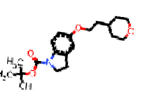 CC(C)(C)OC(=O)N1CCc2cc(OCCC3CCOCC3)ccc21